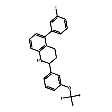 Fc1cccc(-c2cccc3c2CCC(c2cccc(OC(F)(F)F)c2)N3)c1